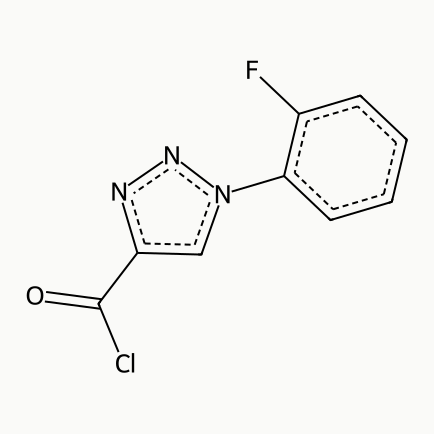 O=C(Cl)c1cn(-c2ccccc2F)nn1